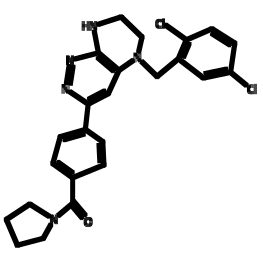 O=C(c1ccc(-c2cc3c(nn2)NCCN3Cc2cc(Cl)ccc2Cl)cc1)N1CCCC1